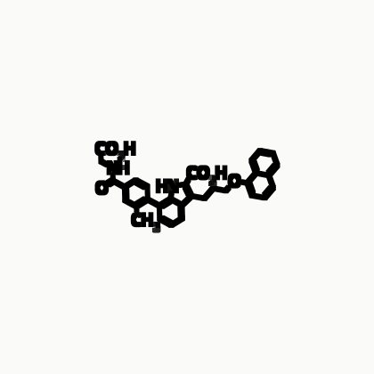 Cc1cc(C(=O)NCC(=O)O)ccc1-c1cccc2c(CCCOc3cccc4ccccc34)c(C(=O)O)[nH]c12